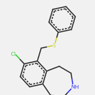 Clc1ccc2c(c1CSc1ccccc1)CCNCC2